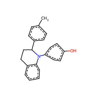 Cc1ccc(C2CCc3ccccc3N2c2ccc(O)cc2)cc1